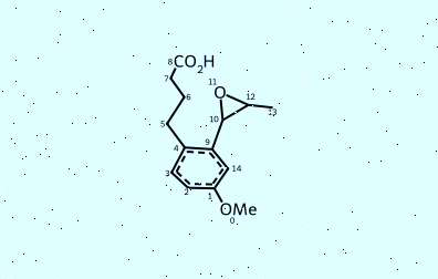 COc1ccc(CCCC(=O)O)c(C2OC2C)c1